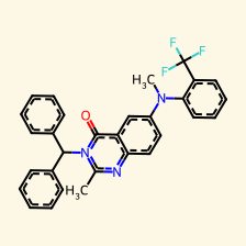 Cc1nc2ccc(N(C)c3ccccc3C(F)(F)F)cc2c(=O)n1C(c1ccccc1)c1ccccc1